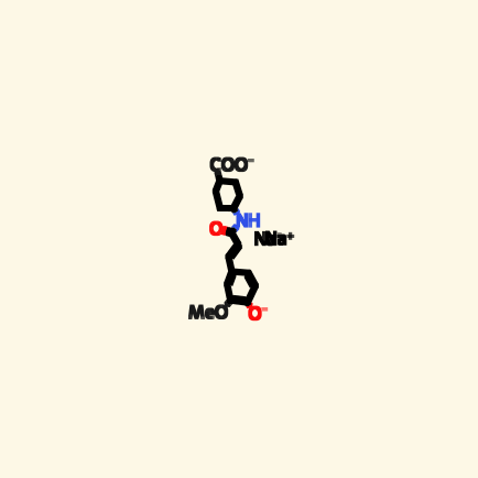 COc1cc(C=CC(=O)NC2CCC(C(=O)[O-])CC2)ccc1[O-].[Na+].[Na+]